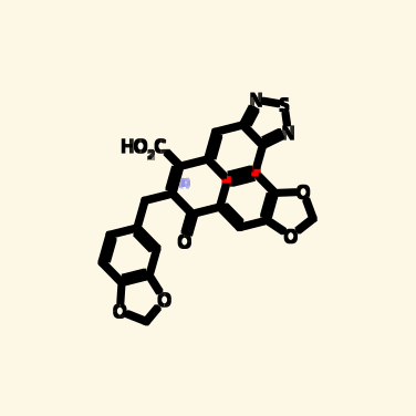 O=C(O)/C(=C(\Cc1ccc2c(c1)OCO2)C(=O)c1ccc2c(c1)OCO2)c1ccc2nsnc2c1